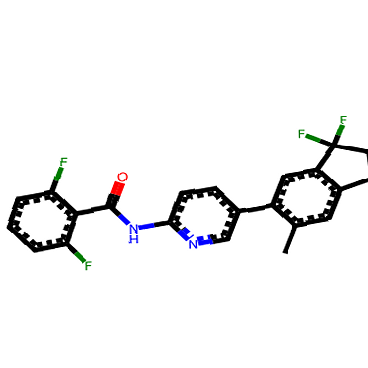 Cc1cc2c(cc1-c1ccc(NC(=O)c3c(F)cccc3F)nc1)C(F)(F)CC2